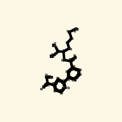 CCC(CC)C(OCCOC(C)C)OC(=O)c1ccnc(-c2cc(C(=O)OC)ccn2)c1